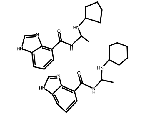 CC(NC(=O)c1cccc2[nH]cnc12)NC1CCCC1.CC(NC(=O)c1cccc2[nH]cnc12)NC1CCCCC1